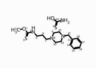 COC(=S)NCCCN1CCN(Cc2ccccc2)CC1.NC(O)=S